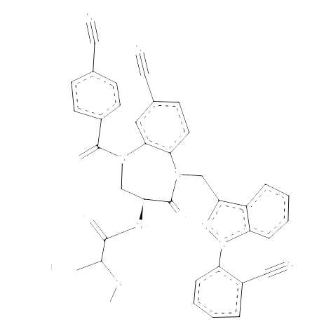 CNC(C)C(=O)N[C@@H]1C(=O)N(Cc2nn(-c3ccccc3C#N)c3ccccc23)c2ccc(C#N)cc2N(C(=O)c2ccc(C#N)cc2)[C@H]1C.Cl